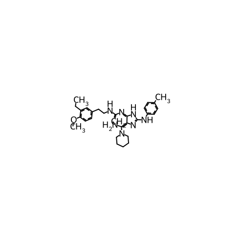 C=C(/N=C1/NC(Nc2ccc(C)cc2)=N/C1=C(/N)N1CCCCC1)NCCc1ccc(OC)c(CC)c1